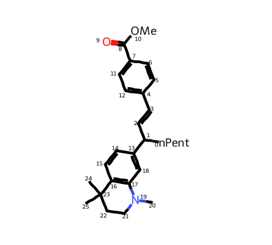 CCCCCC(C=Cc1ccc(C(=O)OC)cc1)c1ccc2c(c1)N(C)CCC2(C)C